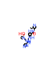 CCc1cnccc1CNC(=O)c1cccc(NCc2nnc(-c3ccncn3)n2CCN2CCC[C@@H]2CO)c1